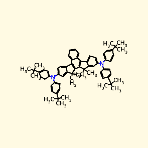 CC(C)(C)C1=CC=C(N(c2ccc(C(C)(C)C)cc2)c2ccc3c(c2)C(C)(C)c2c4c(c5ccccc5c2-3)-c2ccc(N(c3ccc(C(C)(C)C)cc3)c3ccc(C(C)(C)C)cc3)cc2C4(C)C)CC1